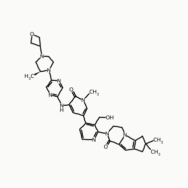 C[C@H]1CN(C2COC2)CCN1c1cnc(Nc2cc(-c3ccnc(N4CCn5c(cc6c5CC(C)(C)C6)C4=O)c3CO)cn(C)c2=O)cn1